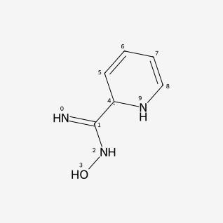 N=C(NO)[C]1C=CC=CN1